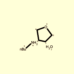 C1CCOC1.CCCCN.O